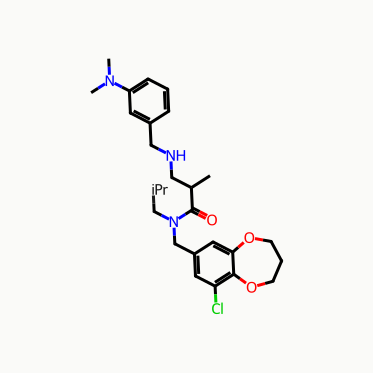 CC(C)CN(Cc1cc(Cl)c2c(c1)OCCCO2)C(=O)C(C)CNCc1cccc(N(C)C)c1